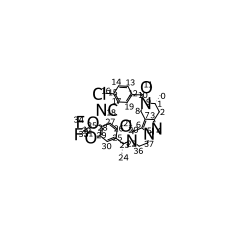 C[C@@H]1Cc2nn3c(c2CN1C(=O)c1ccc(Cl)c(C#N)c1)C(=O)N([C@H](C)c1ccc2c(c1)OC(F)(F)O2)CC3